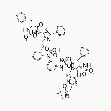 COC(=O)NC(Cc1ccccc1)C(=O)Nc1sc(-c2ccccc2)nc1CCc1ccccc1N(c1cccc(N(C[C@H](NC(=O)[C@H](Cc2ccccc2)NC(=O)OC)c2csc(CS(=O)(=O)C(C)(C)C)n2)S(=O)(=O)O)c1)S(=O)(=O)O